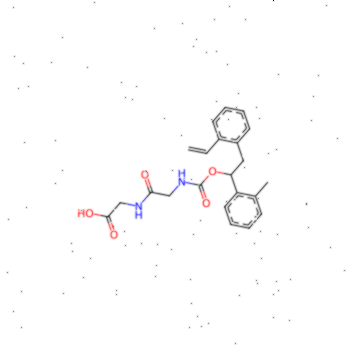 C=Cc1ccccc1CC(OC(=O)NCC(=O)NCC(=O)O)c1ccccc1C